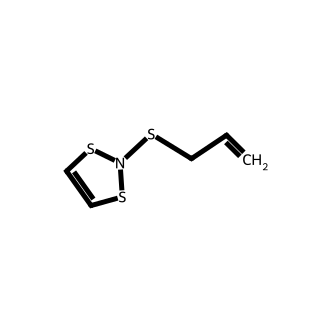 C=CCSN1SC=CS1